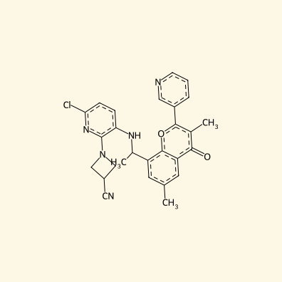 Cc1cc(C(C)Nc2ccc(Cl)nc2N2CC(C#N)C2)c2oc(-c3cccnc3)c(C)c(=O)c2c1